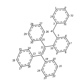 c1ccc(Cc2ccccc2C(=C(c2ccccc2)c2ccccc2)c2ccccc2)cc1